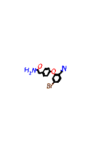 N#Cc1ccc(Br)cc1Oc1ccc(CC(N)=O)cc1